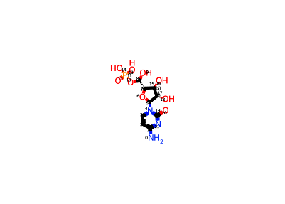 Nc1ccn(C2O[C@H](C(O)OP(=O)(O)O)[C@@H](O)[C@@H]2O)c(=O)n1